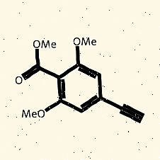 C#Cc1cc(OC)c(C(=O)OC)c(OC)c1